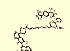 Cc1ncsc1-c1ccc([C@H](C)NC(=O)[C@@H]2CCCN2C(=O)[C@@H](NC(=O)COCCOCC/C=C/C(=O)N2CCN(c3ncnc4c(F)c(-c5cc(O)cc6ccccc56)c(Cl)cc34)CC2)C(C)(C)C)cc1